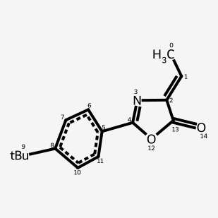 C/C=C1\N=C(c2ccc(C(C)(C)C)cc2)OC1=O